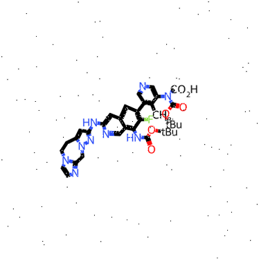 Cc1c(-c2cc3cc(Nc4cc5n(n4)Cc4nccn4CC5)ncc3c(NC(=O)OC(C)(C)C)c2F)cncc1N(C(=O)O)C(=O)OC(C)(C)C